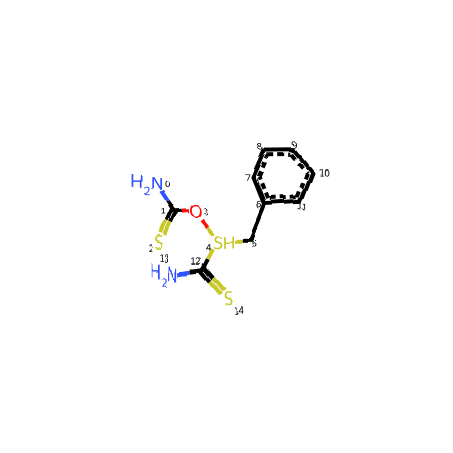 NC(=S)O[SH](Cc1ccccc1)C(N)=S